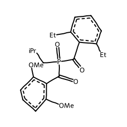 CCc1cccc(CC)c1C(=O)P(=O)(CC(C)C)C(=O)c1c(OC)cccc1OC